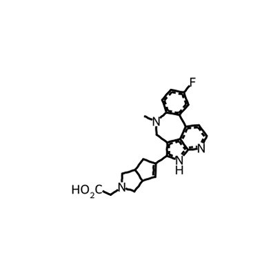 CN1Cc2c(C3=CC4CN(CC(=O)O)CC4C3)[nH]c3nccc(c23)-c2cc(F)ccc21